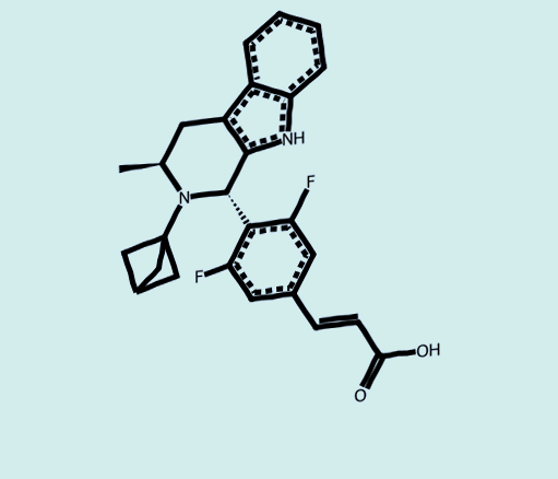 C[C@H]1Cc2c([nH]c3ccccc23)[C@H](c2c(F)cc(/C=C/C(=O)O)cc2F)N1C12CC(C1)C2